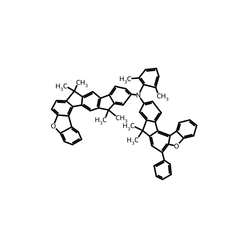 Cc1cccc(C)c1N(c1ccc2c(c1)C(C)(C)c1cc3c(cc1-2)C(C)(C)c1ccc2oc4ccccc4c2c1-3)c1ccc2c(c1)C(C)(C)c1cc(-c3ccccc3)c3oc4ccccc4c3c1-2